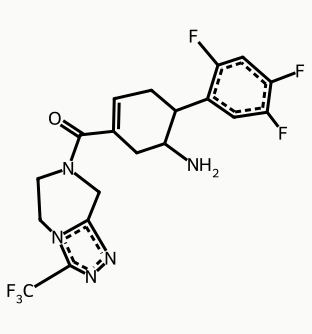 NC1CC(C(=O)N2CCn3c(nnc3C(F)(F)F)C2)=CCC1c1cc(F)c(F)cc1F